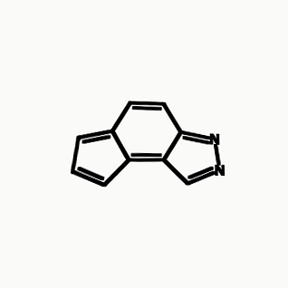 C1=Cc2c3c(ccc2=C1)=NN=C3